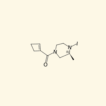 C[C@H]1CN(C(=O)C2=CCC2)CCN1I